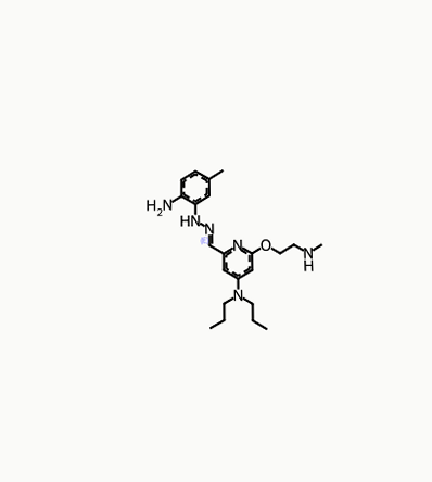 CCCN(CCC)c1cc(/C=N/Nc2cc(C)ccc2N)nc(OCCNC)c1